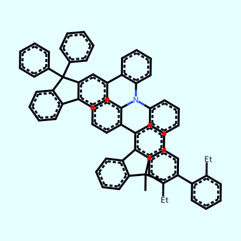 CCc1ccccc1-c1cc(-c2cccc(N(c3ccccc3-c3ccc4c(c3)C(c3ccccc3)(c3ccccc3)c3ccccc3-4)c3ccccc3-c3cccc4c3-c3ccccc3C4(C)C)c2)ccc1CC